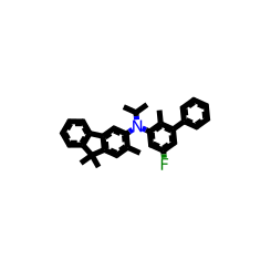 Cc1cc2c(cc1N(c1cc(F)cc(-c3ccccc3)c1C)C(C)C)-c1ccccc1C2(C)C